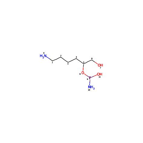 NCCCCC(CO)OP(N)O